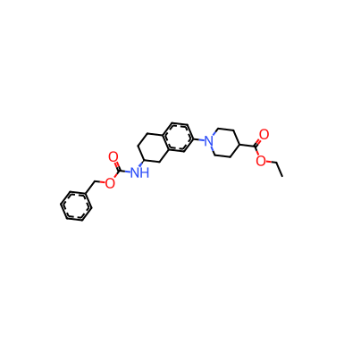 CCOC(=O)C1CCN(c2ccc3c(c2)C[C@@H](NC(=O)OCc2ccccc2)CC3)CC1